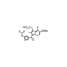 COC1=CCC2C(=C1F)C(CC(=O)O)=C(C)N2C(=O)c1csc(SC(F)F)c1